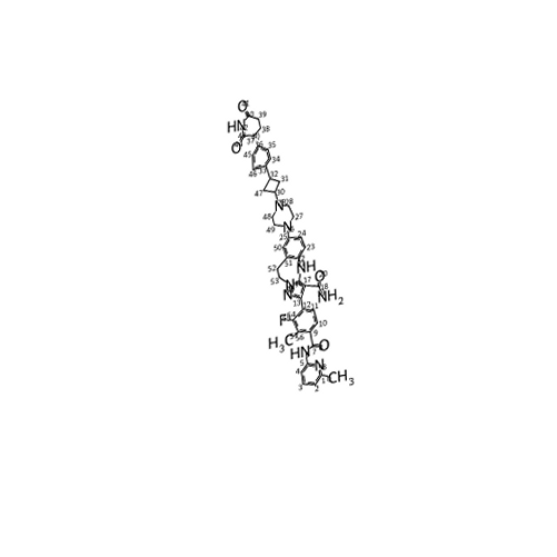 Cc1cccc(NC(=O)c2ccc(-c3nn4c(c3C(N)=O)Nc3ccc(N5CCN(C6CC(c7ccc([C@H]8CCC(=O)NC8=O)cc7)C6)CC5)cc3CC4)c(F)c2C)n1